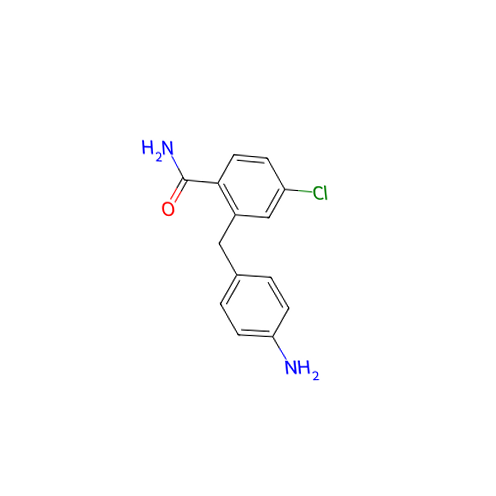 NC(=O)c1ccc(Cl)cc1Cc1ccc(N)cc1